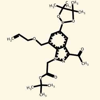 C=CCOCc1cc(B2OC(C)(C)C(C)(C)O2)cc2c(C(C)=O)nn(CC(=O)OC(C)(C)C)c12